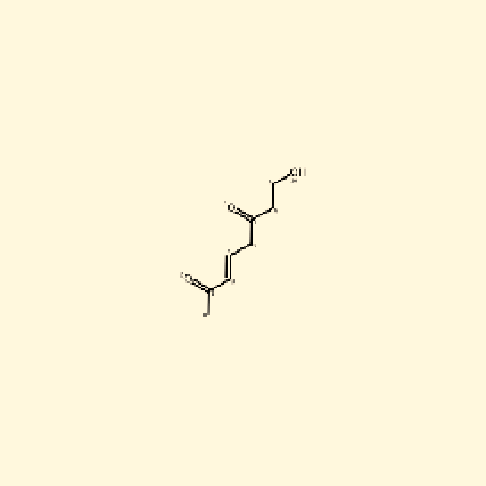 CC(=O)C=CCC(=O)CCO